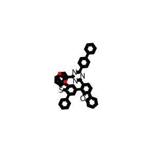 c1ccc(-c2ccc(-c3nc(-c4ccccc4)nc(-c4ccc5c(oc6ccccc65)c4-c4cc(-c5ccccc5)c5sc6ccccc6c5c4)n3)cc2)cc1